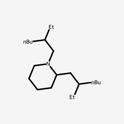 CCCCC(CC)CC1CCCCN1CC(CC)CCCC